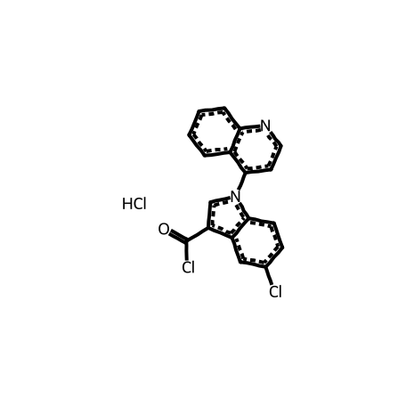 Cl.O=C(Cl)c1cn(-c2ccnc3ccccc23)c2ccc(Cl)cc12